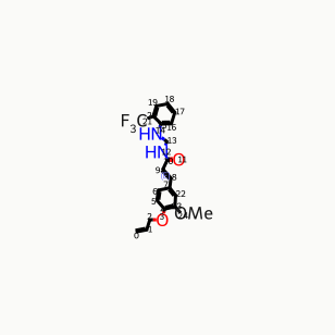 C=CCOc1ccc(/C=C/C(=O)NCNc2ccccc2C(F)(F)F)cc1OC